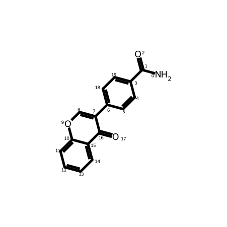 NC(=O)c1ccc(-c2coc3ccccc3c2=O)cc1